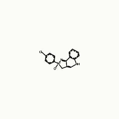 [O-][N+]1(c2ccc(Cl)cc2)CC2=CNc3ccccc3C2=N1